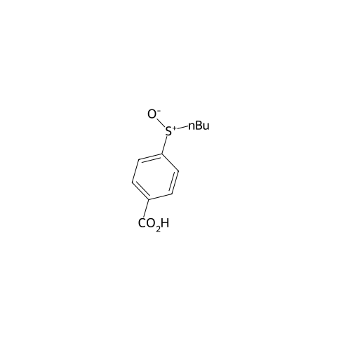 CCCC[S+]([O-])c1ccc(C(=O)O)cc1